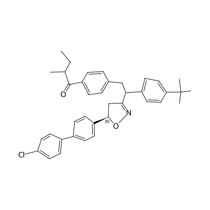 CCC(C)C(=O)c1ccc(CC(C2=NO[C@@H](c3ccc(-c4ccc(Cl)cc4)cc3)C2)c2ccc(C(C)(C)C)cc2)cc1